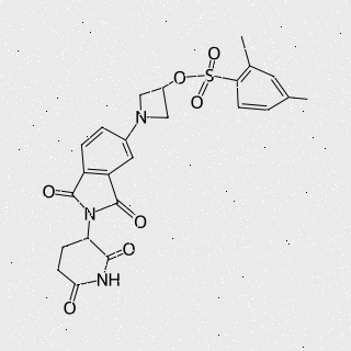 Cc1ccc(S(=O)(=O)OC2CN(c3ccc4c(c3)C(=O)N(C3CCC(=O)NC3=O)C4=O)C2)c(C)c1